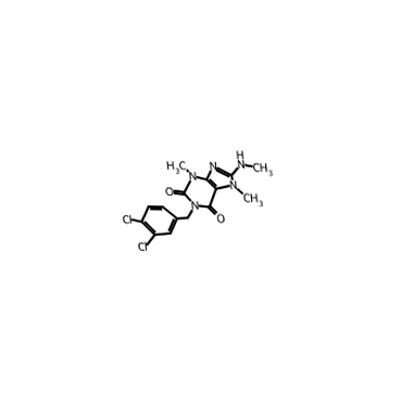 CNc1nc2c(c(=O)n(Cc3ccc(Cl)c(Cl)c3)c(=O)n2C)n1C